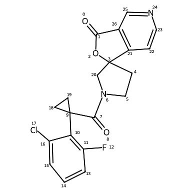 O=C1OC2(CCN(C(=O)C3(c4c(F)cccc4Cl)CC3)C2)c2ccncc21